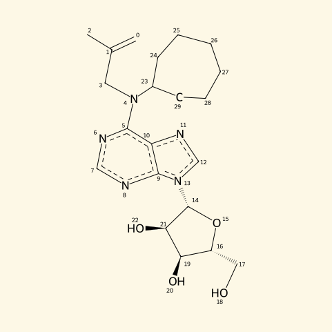 C=C(C)CN(c1ncnc2c1ncn2[C@@H]1O[C@H](CO)[C@@H](O)[C@H]1O)C1CCCCCC1